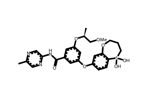 COC[C@H](C)Oc1cc(Oc2ccc3c(c2)OCCCS3(O)O)cc(C(=O)Nc2cnc(C)cn2)c1